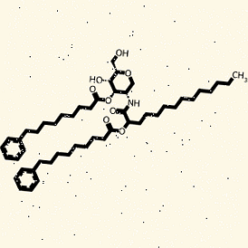 CCCCCCCCCCCCC(OC(=O)CCCCCCCCc1ccccc1)C(=O)N[C@H]1CO[C@H](CO)[C@@H](O)[C@@H]1OC(=O)CCCCCCCCc1ccccc1